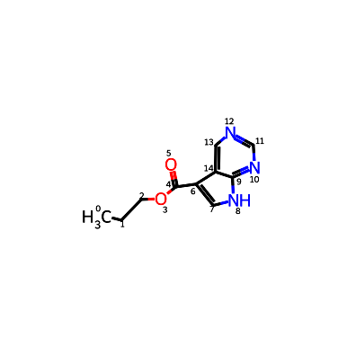 CCCOC(=O)c1c[nH]c2ncncc12